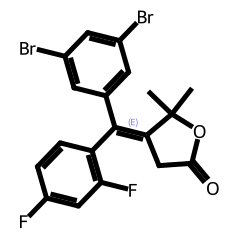 CC1(C)OC(=O)C/C1=C(/c1cc(Br)cc(Br)c1)c1ccc(F)cc1F